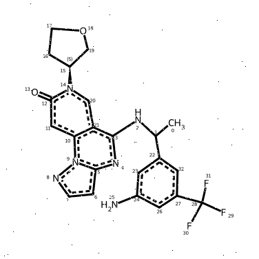 CC(Nc1nc2ccnn2c2cc(=O)n([C@H]3CCOC3)cc12)c1cc(N)cc(C(F)(F)F)c1